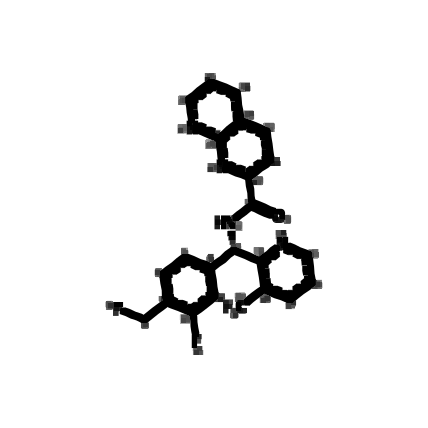 O=C(N[C@@H](c1ccc(CF)c(F)c1)c1ncccc1C(F)(F)F)c1ccc2cccnc2n1